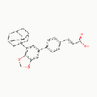 O=C(O)/C=C/c1ccc(-c2cc3c(c(C45CC6CC(CC(C6)C4)C5)c2)OCO3)cc1